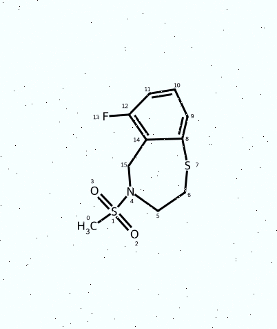 CS(=O)(=O)N1CCSc2cccc(F)c2C1